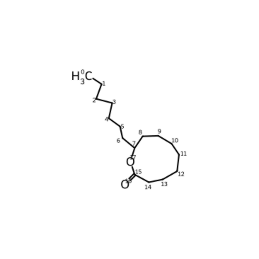 CCCCCCCC1CCCCCCCC(=O)O1